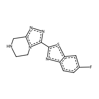 Fc1ccc2nc(-c3nnc4n3CCNC4)sc2c1